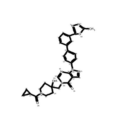 Cc1nnc(-c2cccc(-c3ccc(-n4ncc5c(=O)n(CC6(O)CCN(C(=O)C7CC7)CC6)cnc54)cc3)c2)o1